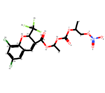 CC(CO[N+](=O)[O-])OC(=O)OC(C)OC(=O)C1=Cc2cc(Cl)cc(Cl)c2OC1C(F)(F)F